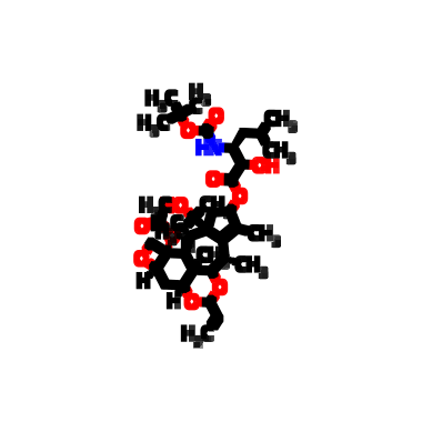 C=CC1OC2[C@@H](C)C3=C(C)C(OC(=O)C(O)[C@H](CC(C)C)NC(=O)OC(C)(C)C)C[C@@]3(C(C)(C)O)[C@@H](C)[C@@H]3[C@]4(OC(C)=O)CO[C@@H]4C[C@H](O1)[C@@]23C